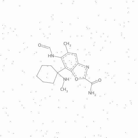 CNC1(c2c(NC=O)c(C)cc3nc(C(N)=O)oc23)CCCCC1